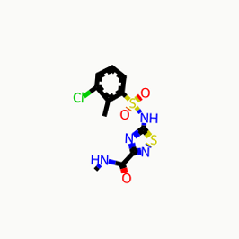 CNC(=O)c1nsc(NS(=O)(=O)c2cccc(Cl)c2C)n1